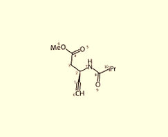 C#C[C@@H](CC(=O)OC)NC(=O)C(C)C